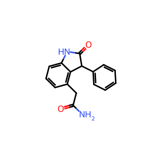 NC(=O)Cc1cccc2c1C(c1ccccc1)C(=O)N2